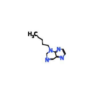 CCCCCN1CN=Cc2nccnc21